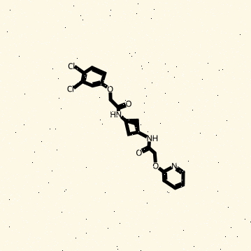 O=C(COc1ccc(Cl)c(Cl)c1)NC12CC(NC(=O)COc3ccccn3)(C1)C2